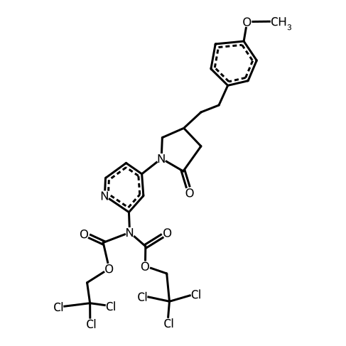 COc1ccc(CCC2CC(=O)N(c3ccnc(N(C(=O)OCC(Cl)(Cl)Cl)C(=O)OCC(Cl)(Cl)Cl)c3)C2)cc1